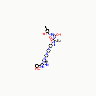 C#Cc1ccc(CNC(=O)[C@@H]2C[C@@H](O)CN2C(=O)[C@@H](NC(=O)[C@H]2CC[C@H](N3CCC(N4CCC(N5CCN6c7cc(-c8ccccc8O)nnc7NC[C@H]6C5)CC4)CC3)CC2)C(C)(C)C)c(O)c1